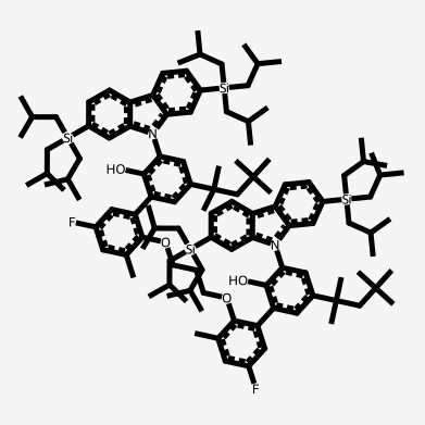 Cc1cc(F)cc(-c2cc(C(C)(C)CC(C)(C)C)cc(-n3c4cc([Si](CC(C)C)(CC(C)C)CC(C)C)ccc4c4ccc([Si](CC(C)C)(CC(C)C)CC(C)C)cc43)c2O)c1OCCCOc1c(C)cc(F)cc1-c1cc(C(C)(C)CC(C)(C)C)cc(-n2c3cc([Si](CC(C)C)(CC(C)C)CC(C)C)ccc3c3ccc([Si](CC(C)C)(CC(C)C)CC(C)C)cc32)c1O